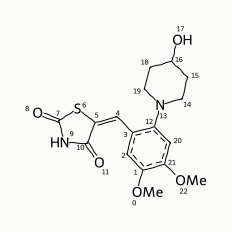 COc1cc(C=C2SC(=O)NC2=O)c(N2CCC(O)CC2)cc1OC